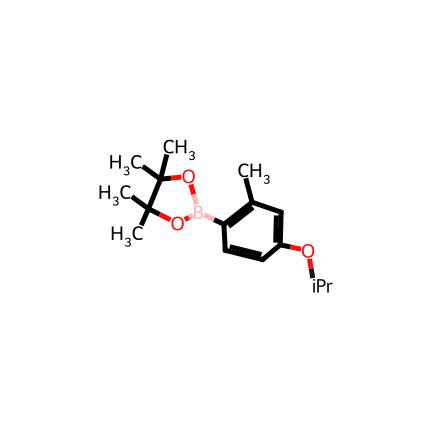 Cc1cc(OC(C)C)ccc1B1OC(C)(C)C(C)(C)O1